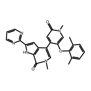 Cc1cccc(C)c1Oc1cn(C)c(=O)cc1-c1cn(C)c(=O)c2[nH]c(-c3ncccn3)cc12